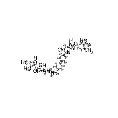 Cc1ccc(Oc2nc3nc(-c4ccc(-c5ccc(CN6CC(CNCC(O)C(O)C(O)C(O)CO)C6)cc5)cc4)c(Cl)cc3[nH]2)cc1C(=O)O